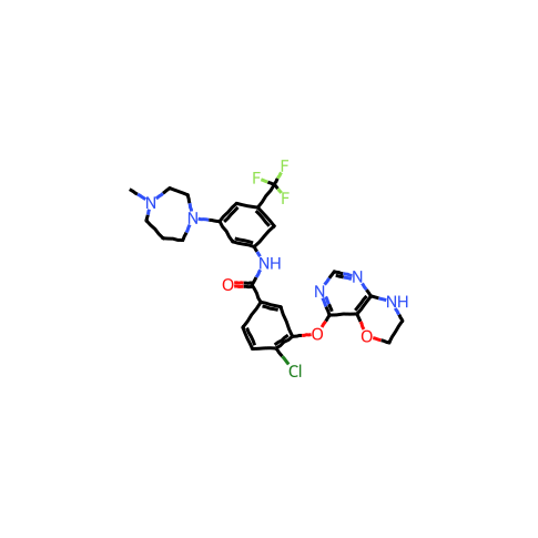 CN1CCCN(c2cc(NC(=O)c3ccc(Cl)c(Oc4ncnc5c4OCCN5)c3)cc(C(F)(F)F)c2)CC1